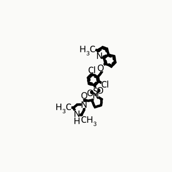 Cc1ccc2cccc(OCc3c(Cl)ccc(S(=O)(=O)N4CCCC4C(=O)N4CC(C)NC(C)C4)c3Cl)c2n1